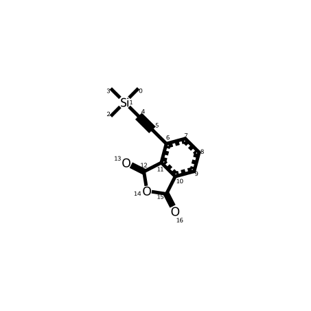 C[Si](C)(C)C#Cc1cccc2c1C(=O)OC2=O